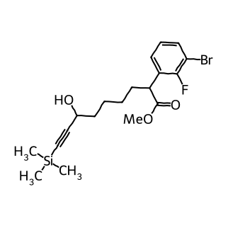 COC(=O)C(CCCCC(O)C#C[Si](C)(C)C)c1cccc(Br)c1F